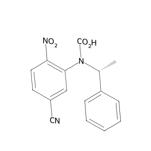 C[C@H](c1ccccc1)N(C(=O)O)c1cc(C#N)ccc1[N+](=O)[O-]